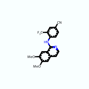 COc1cc2ccnc(Nc3ccc(C#N)cc3C(F)(F)F)c2cc1OC